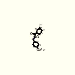 COc1ccc(/C=C2\Oc3ccc(I)cc3C2=O)cc1